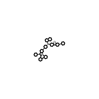 c1ccc(-c2ccc3c(c2)oc2cc(N(c4ccc(-c5ccc6c(-c7ccccc7)c7c8ccccc8c8ccccc8n7c6c5)cc4)c4cccc5ccccc45)ccc23)cc1